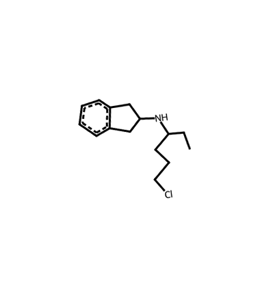 CCC(CCCCl)NC1Cc2ccccc2C1